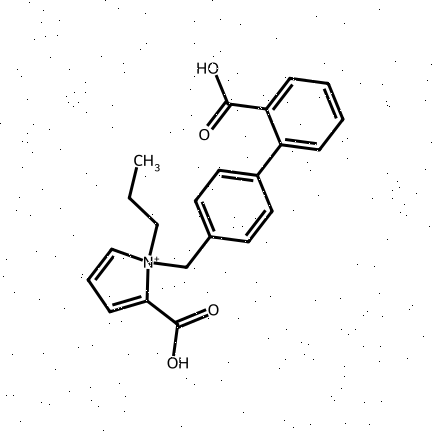 CCC[N+]1(Cc2ccc(-c3ccccc3C(=O)O)cc2)C=CC=C1C(=O)O